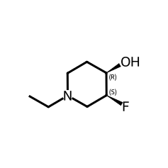 CCN1CC[C@@H](O)[C@@H](F)C1